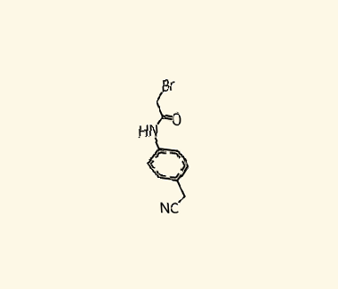 N#CCc1ccc(NC(=O)CBr)cc1